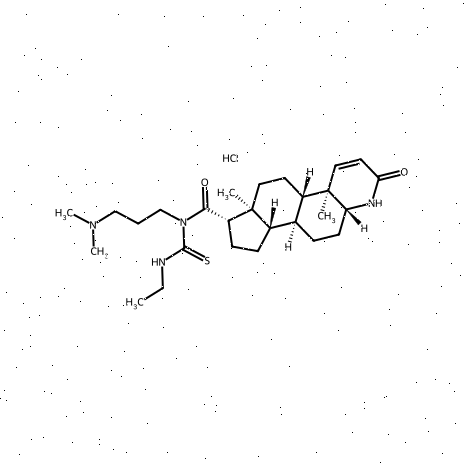 CCNC(=S)N(CCCN(C)C)C(=O)[C@H]1CC[C@H]2[C@@H]3CC[C@H]4NC(=O)C=C[C@]4(C)[C@H]3CC[C@]12C.Cl